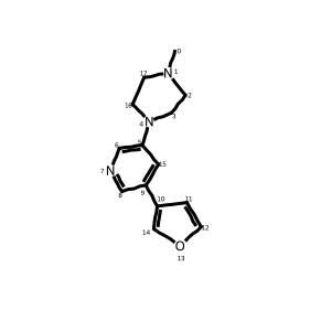 CN1CCN(c2cncc(-c3ccoc3)c2)CC1